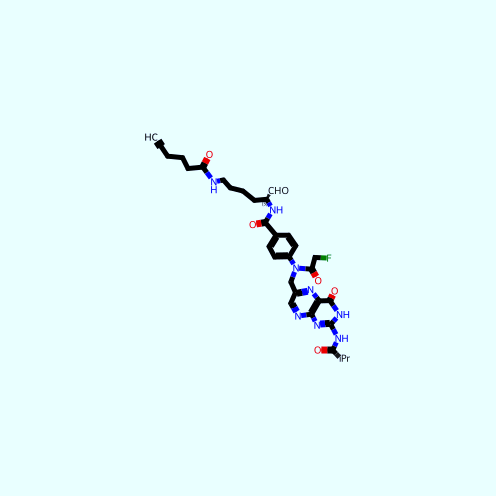 C#CCCCC(=O)NCCCC[C@@H](C=O)NC(=O)c1ccc(N(Cc2cnc3nc(NC(=O)C(C)C)[nH]c(=O)c3n2)C(=O)CF)cc1